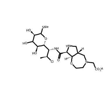 CSC1O[C@H]([C@H](NC(=O)[C@H]2NC[C@@H]3CN(CC(=O)O)CCO[C@H]32)[C@H](C)Cl)[C@@H](O)C(O)[C@H]1O